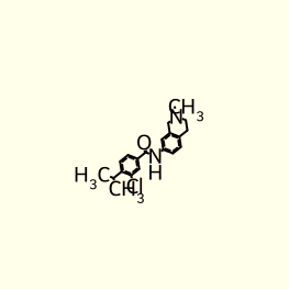 CC(C)c1ccc(C(=O)Nc2ccc3c(c2)CN(C)CC3)cc1Cl